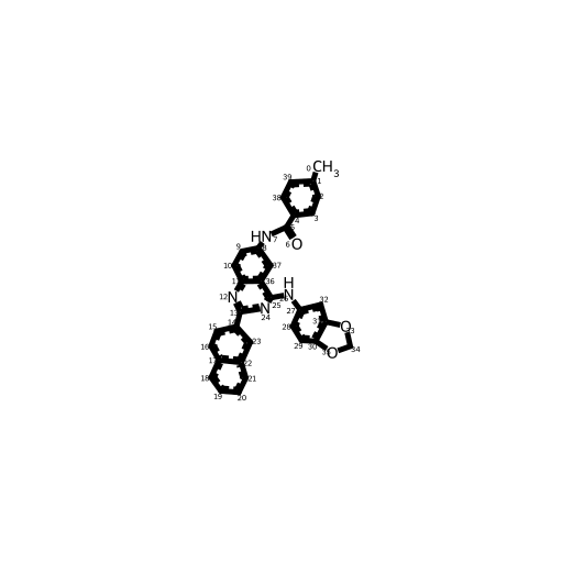 Cc1ccc(C(=O)Nc2ccc3nc(-c4ccc5ccccc5c4)nc(Nc4ccc5c(c4)OCO5)c3c2)cc1